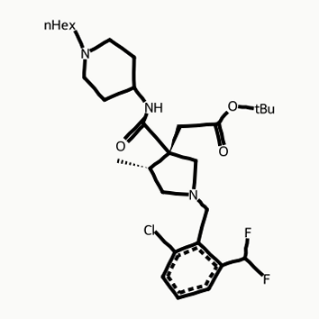 CCCCCCN1CCC(NC(=O)[C@]2(CC(=O)OC(C)(C)C)CN(Cc3c(Cl)cccc3C(F)F)C[C@@H]2C)CC1